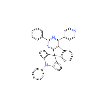 c1ccc(-c2nc(-c3ccncc3)c3c(n2)C2(c4ccccc4-3)c3ccccc3N(c3ccccc3)c3ccccc32)cc1